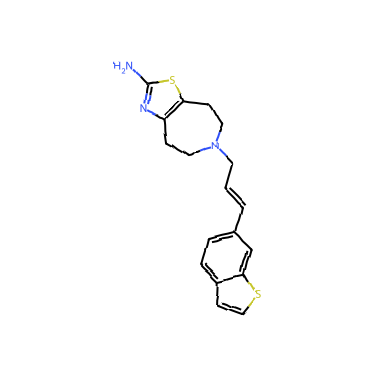 Nc1nc2c(s1)CCN(CC=Cc1ccc3ccsc3c1)CC2